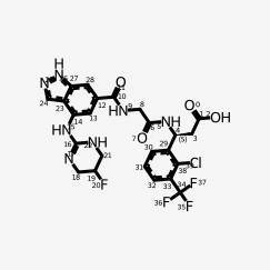 O=C(O)C[C@H](NC(=O)CNC(=O)c1cc(NC2=NCC(F)CN2)c2cn[nH]c2c1)c1cccc(C(F)(F)F)c1Cl